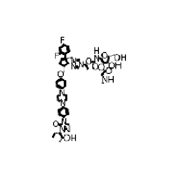 CC[C@@H]([C@H](C)O)n1ncn(-c2ccc(N3CCN(c4ccc(OC[C@@H]5CC[C@@](Cn6c[n+](C(C)OC(=O)NC7O[C@H](CO)[C@H](O)[C@H]7OC(=O)CNC)cn6)(c6ccc(F)cc6F)C5)cc4)CC3)cc2)c1=O